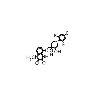 Cn1c(=O)c(=O)[nH]c2c(OC[C@]3(O)CCN(c4c(F)cc(Cl)cc4F)C[C@H]3O)cccc21